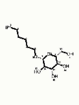 CC(C)CCCCCO[C@@H]1O[C@H](CO)[C@@H](O)[C@H](O)[C@H]1O